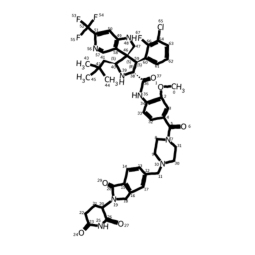 COc1cc(C(=O)N2CCN(Cc3ccc4c(c3)CN(C3CCC(=O)NC3=O)C4=O)CC2)ccc1NC(=O)[C@@H]1N[C@@H](CC(C)(C)C)[C@@]2(CNc3cc(C(F)(F)F)ncc32)[C@H]1c1cccc(Cl)c1F